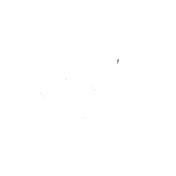 COc1c(Cl)ncnc1N1CC(C)O[C@H](C)C1